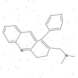 CN(C)CC1=C(c2ccccc2)c2cc3ccccc3nc2CC1